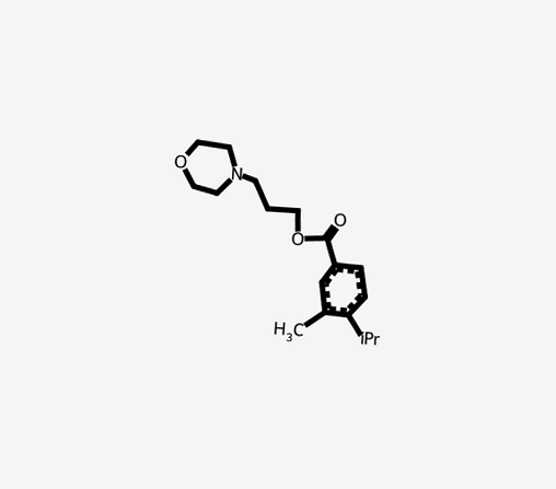 Cc1cc(C(=O)OCCCN2CCOCC2)ccc1C(C)C